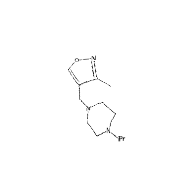 Cc1nocc1CN1CCN(C(C)C)CC1